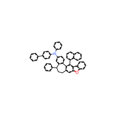 c1ccc(-c2ccc(N(c3ccccc3)c3ccc4c(c3)C(c3ccccc3)CCc3cc5oc6ccccc6c5c(-c5cccc6ccccc56)c3-4)cc2)cc1